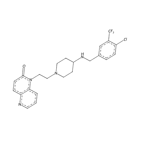 O=c1ccc2ncccc2n1CCN1CCC(NCc2ccc(Cl)c(C(F)(F)F)c2)CC1